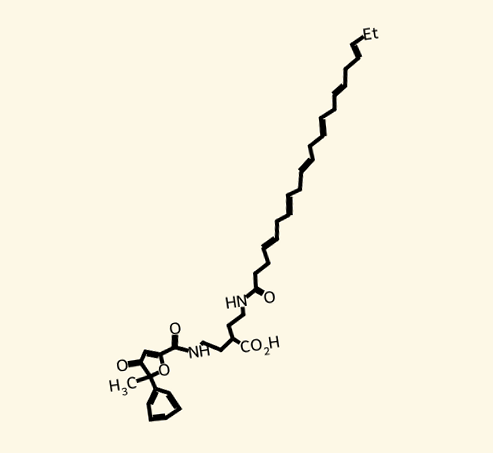 CCC=CCC=CCC=CCC=CCC=CCC=CCCC(=O)NCCC(CCNC(=O)C1=CC(=O)C(C)(c2ccccc2)O1)C(=O)O